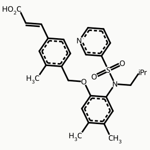 Cc1cc(OCc2ccc(/C=C/C(=O)O)cc2C)c(N(CC(C)C)S(=O)(=O)c2cccnc2)cc1C